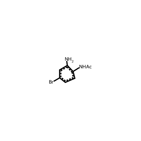 CC(=O)Nc1ccc(Br)cc1N